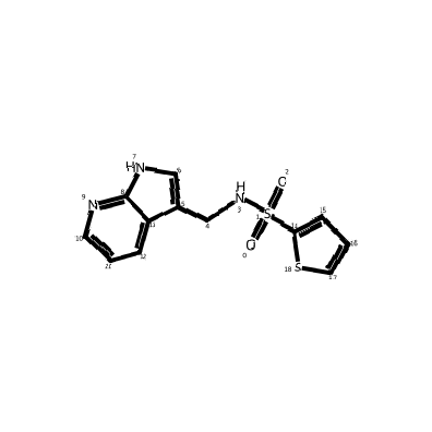 O=S(=O)(NCc1c[nH]c2ncccc12)c1cccs1